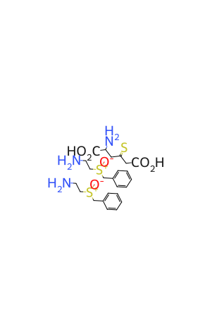 NC(CC(=S)CC(=O)O)C(=O)O.NCC[S+]([O-])Cc1ccccc1.NCC[S+]([O-])Cc1ccccc1